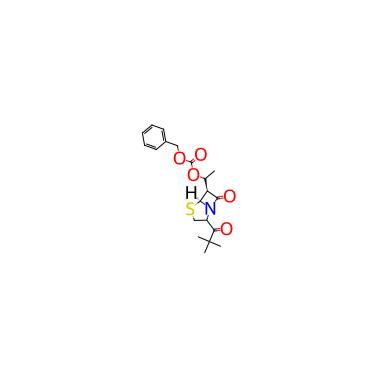 CC(OC(=O)OCc1ccccc1)[C@H]1C(=O)N2C(C(=O)C(C)(C)C)CS[C@@H]12